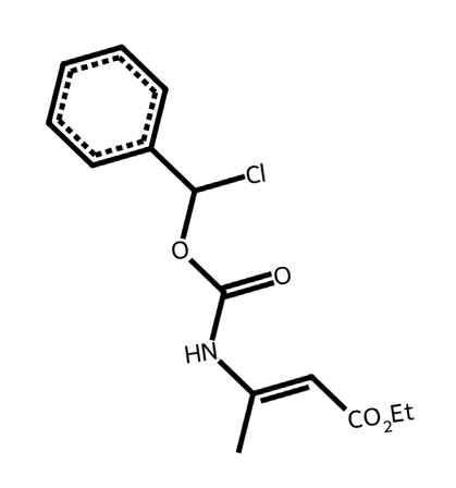 CCOC(=O)C=C(C)NC(=O)OC(Cl)c1ccccc1